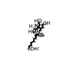 CCCCCCCCCCCCCCCCCCNCC(CCO)C(N)(CCO)CCO.Cl.Cl